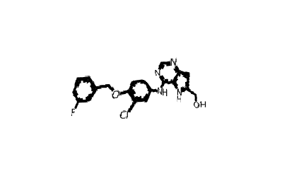 OCc1cc2ncnc(Nc3ccc(OCc4cccc(F)c4)c(Cl)c3)c2[nH]1